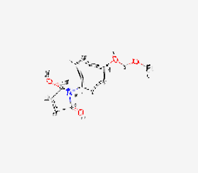 CCOCOc1ccc(N2C(=O)C=CC2=O)cc1